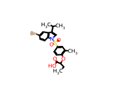 CCC(Oc1ccc(S(=O)(=O)n2cc(C(C)C)c3cc(Br)ccc32)cc1C)C(=O)O